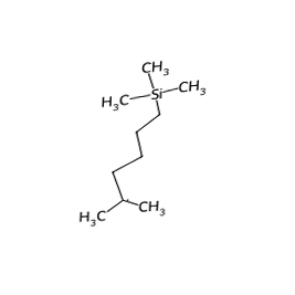 C[C](C)CCCC[Si](C)(C)C